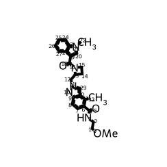 COCCNC(=O)c1ccc2nn(CC3CCN3C(=O)c3cn(C)c4ccccc34)cc2c1C